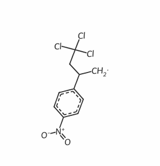 [CH2]C(CC(Cl)(Cl)Cl)c1ccc([N+](=O)[O-])cc1